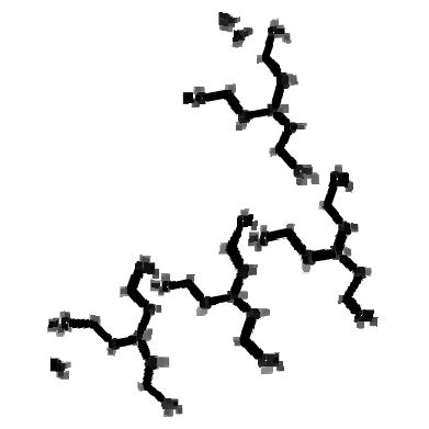 CCOP(OCC)OCC.CCOP(OCC)OCC.CCOP(OCC)OCC.CCOP(OCC)OCC.[Br-].[Br-].[Ni+2]